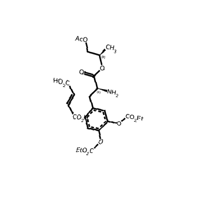 CCOC(=O)Oc1ccc(C[C@H](N)C(=O)O[C@H](C)COC(C)=O)cc1OC(=O)OCC.O=C(O)C=CC(=O)O